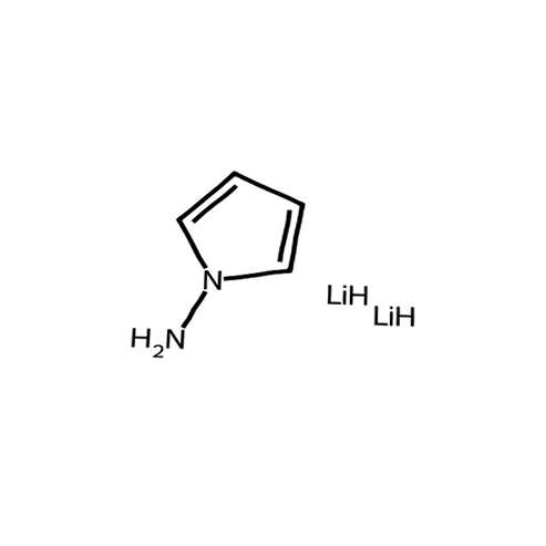 Nn1cccc1.[LiH].[LiH]